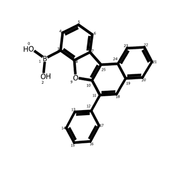 OB(O)c1cccc2c1oc1c(-c3ccccc3)cc3ccccc3c12